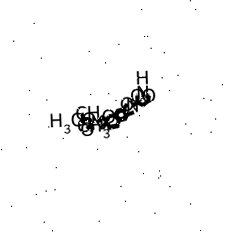 CC(C)(C)OC(=O)N1CC2(C=Cc3cc4c(cc3O2)ON(C2CCONO2)C4)C1